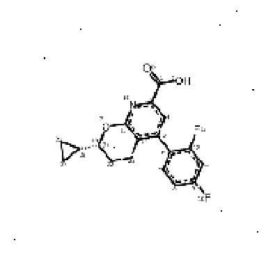 O=C(O)c1cc(-c2ccc(F)cc2F)c2c(n1)O[C@@H](C1CC1)CC2